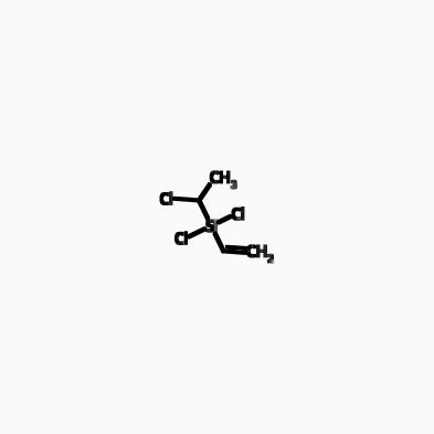 C=C[Si](Cl)(Cl)C(C)Cl